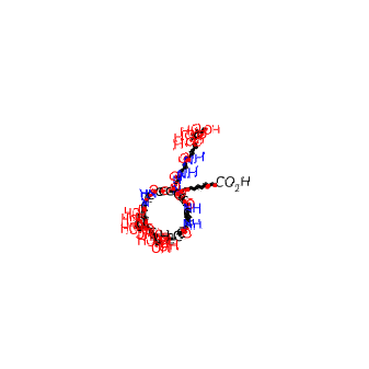 O=C(O)CCCCCCCCCCC(=O)NC1(COCCC(=O)NCCCNC(=O)CCCCO[C@H]2OC(CO)[C@H](O)C(O)C2O)COCCC(=O)NCCCNCC(=O)CCCCO[C@H]2OC(COC(O[C@H]3OC(CO)[C@@H](O)C(O)C3O)CCCC(=O)CNCCCNC(=O)CCOC1)[C@@H](O)C(O)C2O